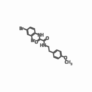 COc1ccc(CCNC(=O)C(=O)Nc2ccc(Br)cc2Br)cc1